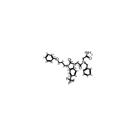 NC(=O)CN(Cc1ccccc1)C(=O)Cn1c(=O)n(CCCOc2ccccc2)c2cc(C(F)(F)F)ccc21